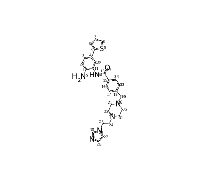 Nc1ccc(-c2cccs2)cc1NC(=O)c1ccc(CN2CCN(CCn3ccnc3)CC2)cc1